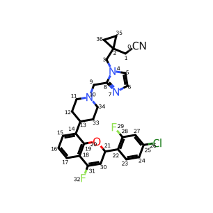 N#CCC1(Cn2ccnc2CN2CCC(c3cccc4c3OC(c3ccc(Cl)cc3F)C=C4F)CC2)CC1